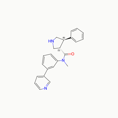 CN(C(=O)[C@@H]1CNC[C@H]1c1ccccc1)c1cccc(-c2cccnc2)c1